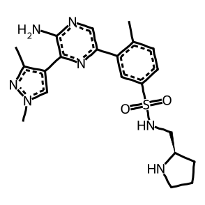 Cc1ccc(S(=O)(=O)NC[C@H]2CCCN2)cc1-c1cnc(N)c(-c2cn(C)nc2C)n1